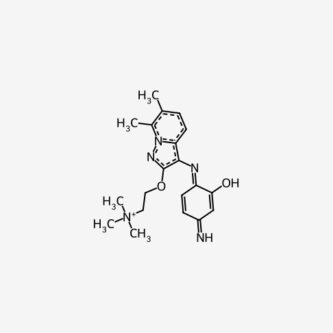 Cc1ccc2c(/N=C3\C=CC(=N)C=C3O)c(OCC[N+](C)(C)C)nn2c1C